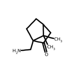 CC1(C)C2CCC1(CN)C(=O)C2